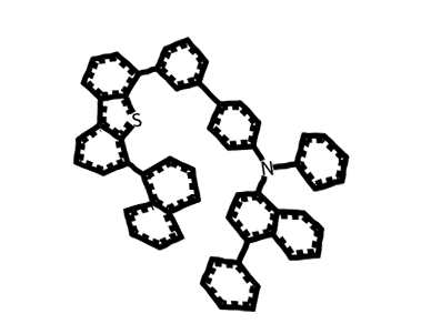 c1ccc(-c2ccc(N(c3ccccc3)c3ccc(-c4cccc(-c5cccc6c5sc5c(-c7cccc8ccccc78)cccc56)c4)cc3)c3ccccc23)cc1